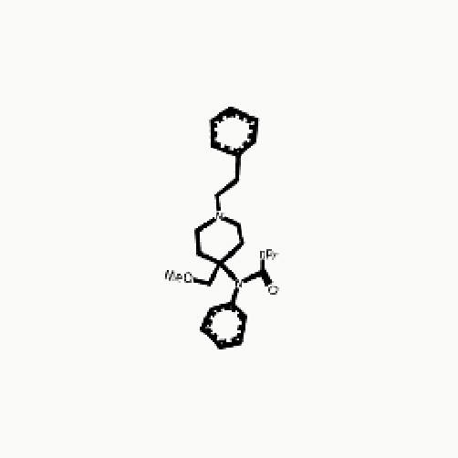 CCCC(=O)N(c1ccccc1)C1(COC)CCN(CCc2ccccc2)CC1